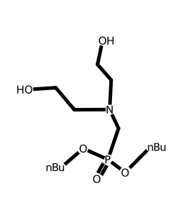 CCCCOP(=O)(CN(CCO)CCO)OCCCC